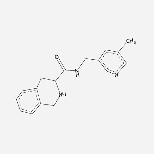 Cc1cncc(CNC(=O)C2Cc3ccccc3CN2)c1